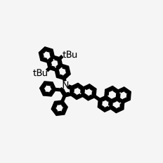 CC(C)(C)c1c2ccccc2c(C(C)(C)C)c2cc(-n3c(-c4ccccc4)c(-c4ccccc4)c4cc5cc(-c6ccc7ccc8cccc9ccc6c7c89)ccc5cc43)ccc12